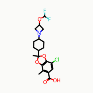 Cc1c(C(=O)O)cc(Cl)c2c1OC(C)(C1CCC(N3CC(OC(F)F)C3)CC1)O2